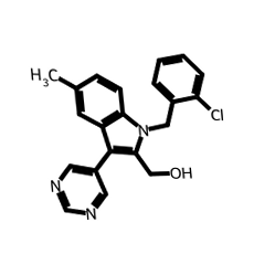 Cc1ccc2c(c1)c(-c1cncnc1)c(CO)n2Cc1ccccc1Cl